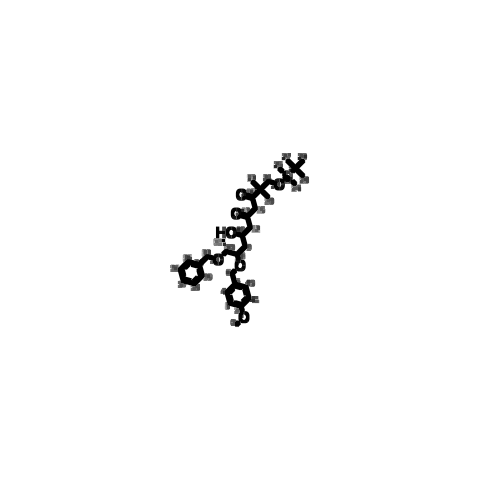 COc1ccc(COC(CC(O)CC(=O)CC(=O)C(C)(C)CO[Si](C)(C)C(C)(C)C)[C@@H](C)OCc2ccccc2)cc1